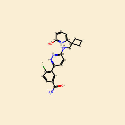 NC(=O)c1ccc(F)c(-c2ccc(NCC3(c4cccc(O)n4)CCC3)nn2)c1